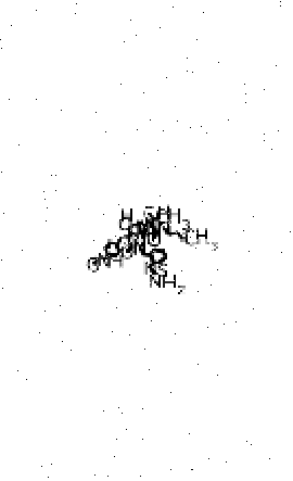 CCCCNC(=O)N(C(C)C)N1CC(=O)N2[C@@H](Cc3ccc(NC=O)cc3)C(=O)N(Cc3cccc4sc(N)nc34)C[C@@H]21